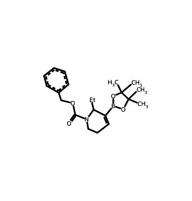 CCC1C(B2OC(C)(C)C(C)(C)O2)=CCCN1C(=O)OCc1ccccc1